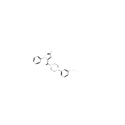 CCCCOc1cccc(N2CCN(C(=O)c3cc(C)nn3-c3ccccc3)CC2)c1.Cl